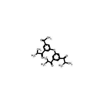 CC(=O)c1cc(Oc2cc(C(=O)C(C)C)cc(C(=O)C(C)C)c2)cc(C(=O)C(C)C)c1